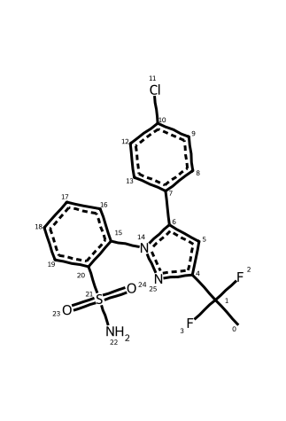 CC(F)(F)c1cc(-c2ccc(Cl)cc2)n(-c2ccccc2S(N)(=O)=O)n1